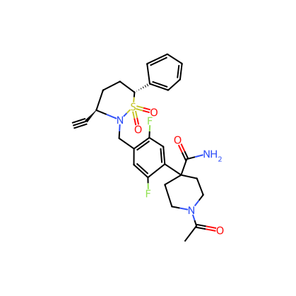 C#C[C@H]1CC[C@H](c2ccccc2)S(=O)(=O)N1Cc1cc(F)c(C2(C(N)=O)CCN(C(C)=O)CC2)cc1F